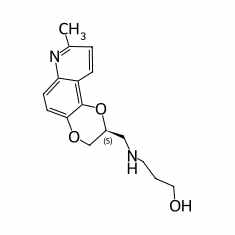 Cc1ccc2c3c(ccc2n1)OC[C@H](CNCCCO)O3